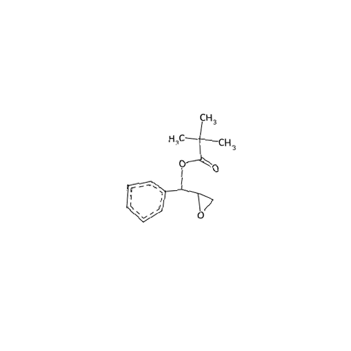 CC(C)(C)C(=O)OC(c1ccccc1)C1CO1